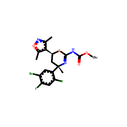 Cc1noc(C)c1[C@@H]1C[C@@](C)(c2cc(Br)c(F)cc2F)N=C(NC(=O)OC(C)(C)C)S1